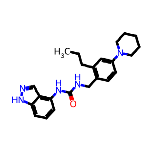 CCCc1cc(N2CCCCC2)ccc1CNC(=O)Nc1cccc2[nH]ncc12